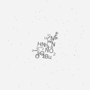 C=C(CCNc1c([N+](=O)[O-])cnc2c1ccn2SI)C(=O)OC(C)(C)C